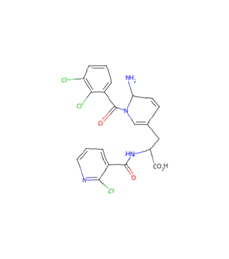 NC1C=CC(CC(NC(=O)c2cccnc2Cl)C(=O)O)=CN1C(=O)c1cccc(Cl)c1Cl